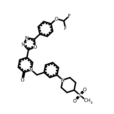 CS(=O)(=O)C1CCN(c2cccc(Cn3cc(-c4nnc(-c5ccc(OC(F)F)cc5)o4)ccc3=O)c2)CC1